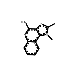 Cc1nc2c(N)nc3ccccc3c2n1C